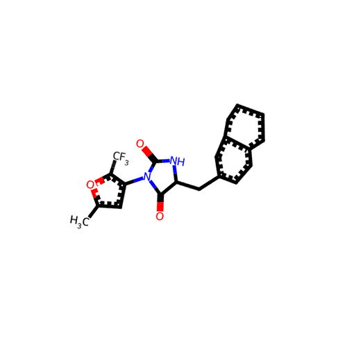 Cc1cc(N2C(=O)NC(Cc3ccc4ccccc4c3)C2=O)c(C(F)(F)F)o1